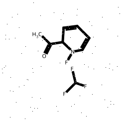 CC(=O)C1C=CC=CN1F.FC(F)F